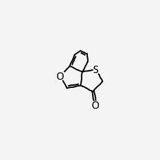 O=C1CSC23CC=CC=C2OC=C13